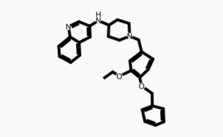 CCOc1cc(CN2CCC(Nc3cnc4ccccc4c3)CC2)ccc1OCc1ccccc1